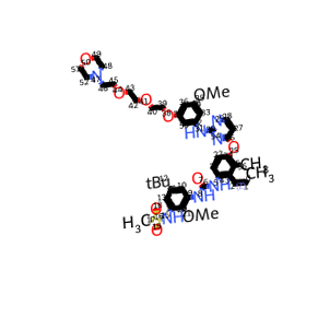 C/C=C\c1c(NC(=O)Nc2cc(C(C)(C)C)cc(NS(C)(=O)=O)c2OC)ccc(Oc2ccnc(Nc3cc(OC)cc(OCCOCCOCCN4CCOCC4)c3)n2)c1C